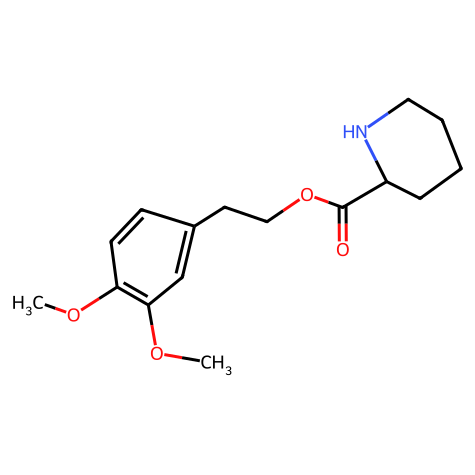 COc1ccc(CCOC(=O)C2CCCCN2)cc1OC